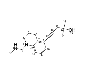 CNCN1CCCc2c(C#CCC(C)(C)O)cccc21